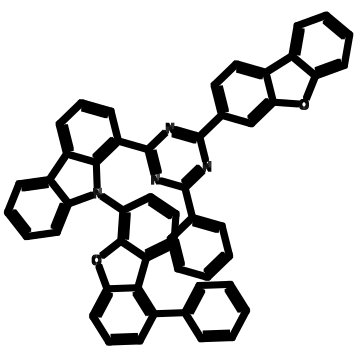 c1ccc(-c2nc(-c3ccc4c(c3)oc3ccccc34)nc(-c3cccc4c5ccccc5n(-c5cccc6c5oc5cccc(-c7ccccc7)c56)c34)n2)cc1